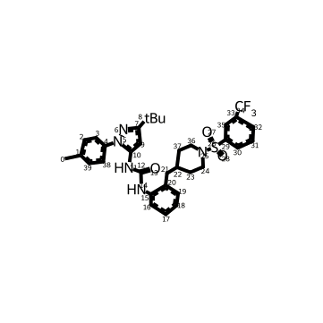 Cc1ccc(-n2nc(C(C)(C)C)cc2NC(=O)Nc2ccccc2CC2CCN(S(=O)(=O)c3cccc(C(F)(F)F)c3)CC2)cc1